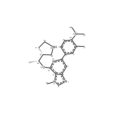 Cc1cc(-c2cc3ncn(C)c3c(O[C@H](C)[C@@H]3CCNC3)n2)ccc1N(C)C